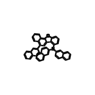 c1ccc2cc(-c3cc4c(oc5cccc(N(c6ccc7ccccc7c6)c6ccc7ccccc7c6)c54)c4ccccc34)ccc2c1